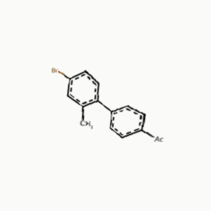 CC(=O)c1ccc(-c2ccc(Br)cc2C)cc1